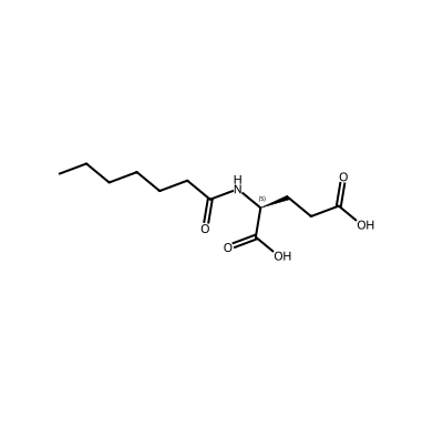 CCCCCCC(=O)N[C@@H](CCC(=O)O)C(=O)O